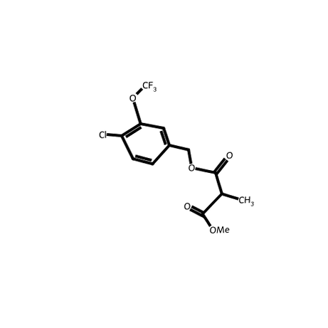 COC(=O)C(C)C(=O)OCc1ccc(Cl)c(OC(F)(F)F)c1